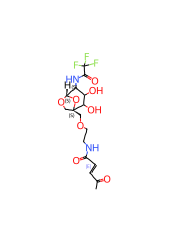 CC(=O)/C=C/C(=O)NCCOC[C@@]12CO[C@@H](O1)[C@@H](NC(=O)C(F)(F)F)C(O)C2O